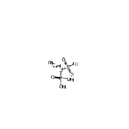 O=P(O)(O)OS(=O)(=O)O.[CaH2].[Zn]